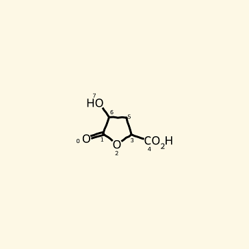 O=C1OC(C(=O)O)CC1O